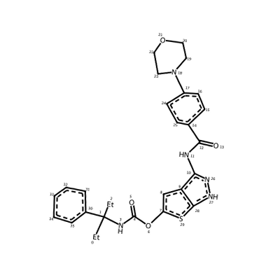 CCC(CC)(NC(=O)Oc1cc2c(NC(=O)c3ccc(N4CCOCC4)cc3)n[nH]c2s1)c1ccccc1